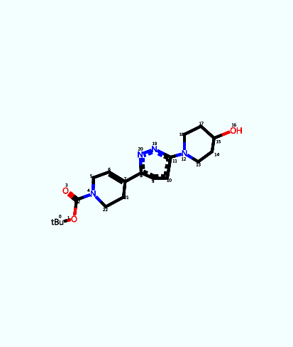 CC(C)(C)OC(=O)N1CC=C(c2ccc(N3CCC(O)CC3)nn2)CC1